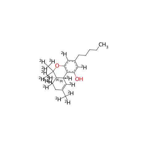 [2H]C1=C(C([2H])([2H])[2H])CC([2H])([2H])[C@@]2([2H])C(C([2H])([2H])[2H])(C([2H])([2H])[2H])Oc3c([2H])c(CCCCC)c([2H])c(O)c3[C@]12[2H]